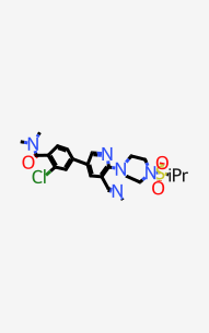 C/N=C/c1cc(-c2ccc(C(=O)N(C)C)c(Cl)c2)cnc1N1CCN(S(=O)(=O)C(C)C)CC1